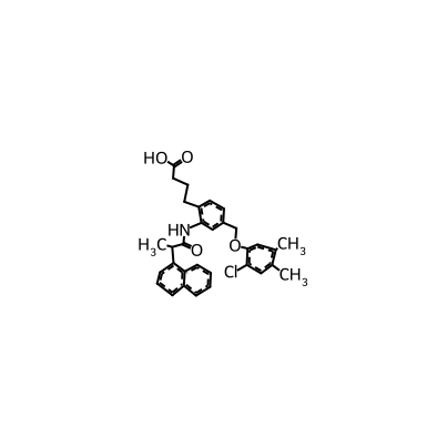 Cc1cc(Cl)c(OCc2ccc(CCCC(=O)O)c(NC(=O)C(C)c3cccc4ccccc34)c2)cc1C